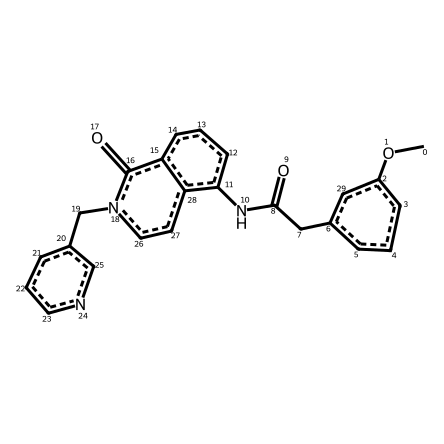 COc1cccc(CC(=O)Nc2cccc3c(=O)n(Cc4cccnc4)ccc23)c1